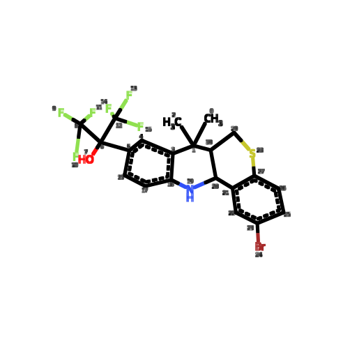 CC1(C)c2cc(C(O)(C(F)(F)F)C(F)(F)F)ccc2NC2c3cc(Br)ccc3SCC21